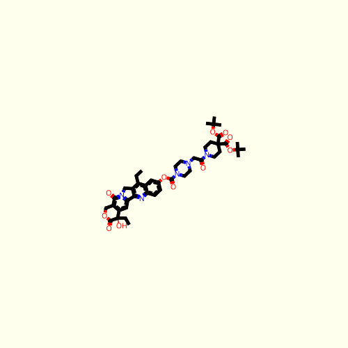 CCc1c2c(nc3ccc(OC(=O)N4CCN(CC(=O)N5CCC(C(=O)OC(C)(C)C)(C(=O)OC(C)(C)C)CC5)CC4)cc13)-c1cc3c(c(=O)n1C2)COC(=O)[C@]3(O)CC